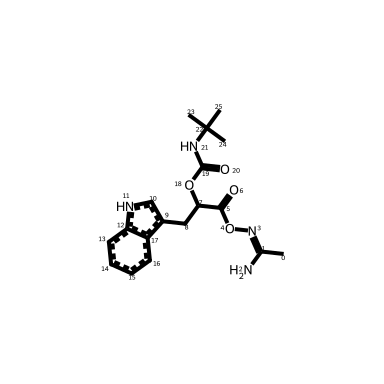 CC(N)=NOC(=O)C(Cc1c[nH]c2ccccc12)OC(=O)NC(C)(C)C